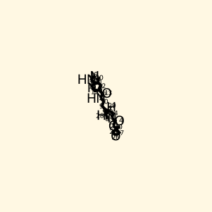 CC1(OC(=O)N2C[C@@H]3C(CCNC(=O)c4cnc5[nH]ncc5c4)[C@@H]3C2)COC1